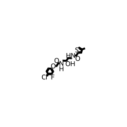 Cc1csc(C(=O)NCCC(O)CNC(=O)COc2ccc(Cl)c(F)c2)c1